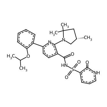 CC(C)Oc1ccccc1-c1ccc(C(=O)NS(=O)(=O)c2ccc[nH]c2=O)c(N2C[C@@H](C)CC2(C)C)n1